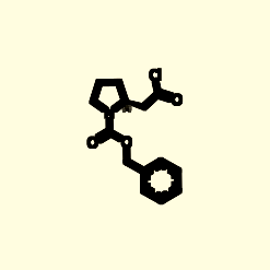 O=C(Cl)C[C@@H]1CCCN1C(=O)OCc1ccccc1